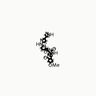 COc1ccc2c(c1)C(=O)N(C[C@@]1(c3cc4nc(Nc5ccc(-c6cn[nH]c6)cn5)ccc4o3)NC(=O)NC1=O)C2